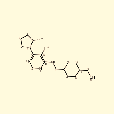 C[C@H]1CCCN1c1ncnc(NCC2CCC(CO)CC2)c1F